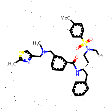 COc1ccc(S(=O)(=O)N(CC[C@H](Cc2ccccc2)NC(=O)c2cccc(CN(C)Cc3csc(C)n3)c2)CC(C)C)cc1